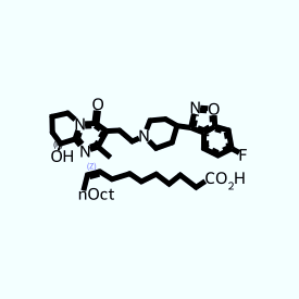 CCCCCCCC/C=C\CCCCCCCC(=O)O.Cc1nc2n(c(=O)c1CCN1CCC(c3noc4cc(F)ccc34)CC1)CCC[C@H]2O